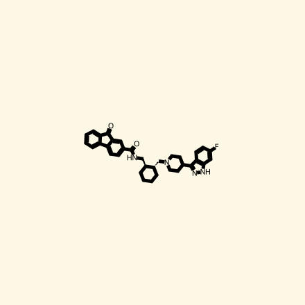 O=C(NC[C@@H]1CCCC[C@H]1CN1CCC(c2n[nH]c3cc(F)ccc23)CC1)c1ccc2c(c1)C(=O)c1ccccc1-2